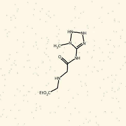 CCOC(=O)CNCC(=O)NC1=NNNN1C